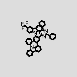 FC(F)(F)c1ccc2c(c1)c1ccccc1n2-c1ccc(-c2cccc3c4ccccc4n(-c4ccccc4)c23)cc1-c1nc(-c2ccccc2)nc(-c2ccccc2)n1